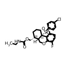 CCNC(=O)OC[C@@H]1CCC[C@@]2(S(=O)(=O)c3ccc(Cl)cc3)c3c(F)ccc(F)c3OC[C@@H]12